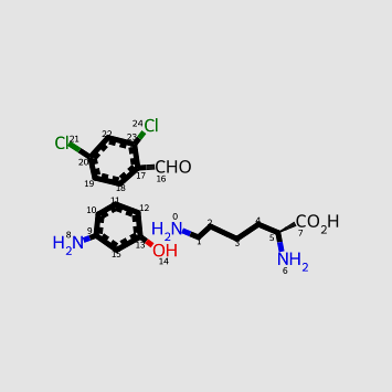 NCCCC[C@H](N)C(=O)O.Nc1cccc(O)c1.O=Cc1ccc(Cl)cc1Cl